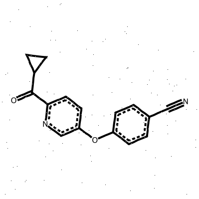 N#Cc1ccc(Oc2ccc(C(=O)C3CC3)nc2)cc1